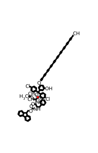 C#CC#CC#CC#CC#CC#CC#CC#CC#CC#CC#COc1cc(O)cc(C(OC(=O)C(CSC(C)(C)C)NC(=O)C(Cc2ccccc2)NC(=O)OCC2c3ccccc3-c3ccccc32)(c2ccc(Cl)cc2)c2ccc(Cl)cc2)c1